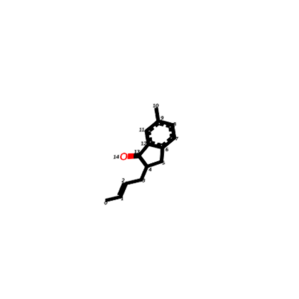 CC=CCC1Cc2ccc(C)cc2C1=O